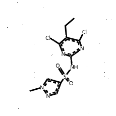 CCc1c(Cl)nc(NS(=O)(=O)c2cnn(C)c2)nc1Cl